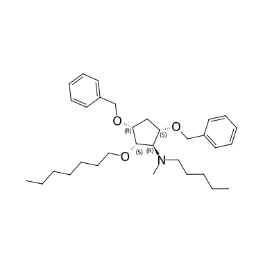 CCCCCCCO[C@H]1[C@H](N(C)CCCCC)[C@@H](OCc2ccccc2)C[C@H]1OCc1ccccc1